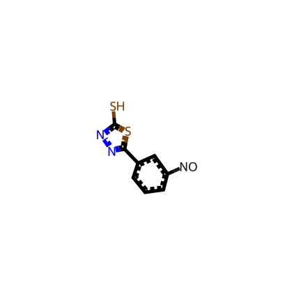 O=Nc1cccc(-c2nnc(S)s2)c1